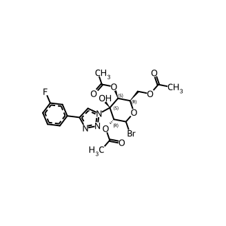 CC(=O)OC[C@H]1OC(Br)[C@H](OC(C)=O)[C@](O)(n2cc(-c3cccc(F)c3)nn2)[C@H]1OC(C)=O